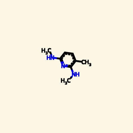 CNc1ccc(C)c(NC)n1